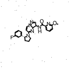 COc1cccc(C(=O)NC2C=NN3C=CC(N4CCC[C@@H]4c4cccc(F)c4)=NC23)n1